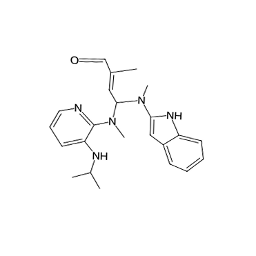 C/C(C=O)=C\C(N(C)c1cc2ccccc2[nH]1)N(C)c1ncccc1NC(C)C